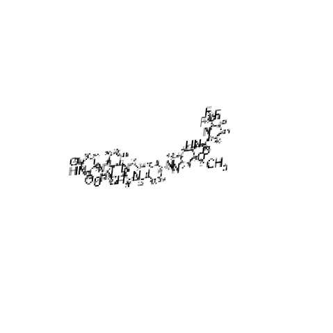 CCOc1cc2nn([C@H]3CC[C@H](CN4CCN(c5cccc6c5n(C)c(=O)n6C5CCC(=O)NC5=O)CC4)CC3)cc2cc1NC(=O)c1cccc(C(F)(F)F)n1